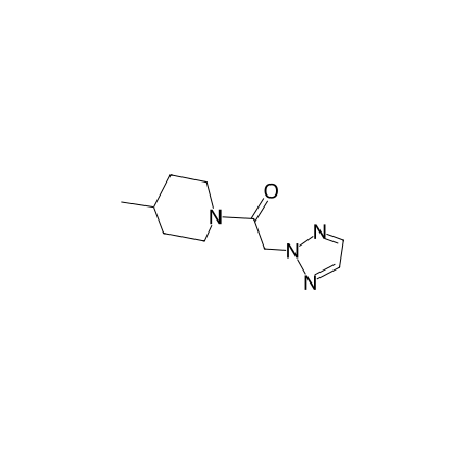 CC1CCN(C(=O)Cn2nccn2)CC1